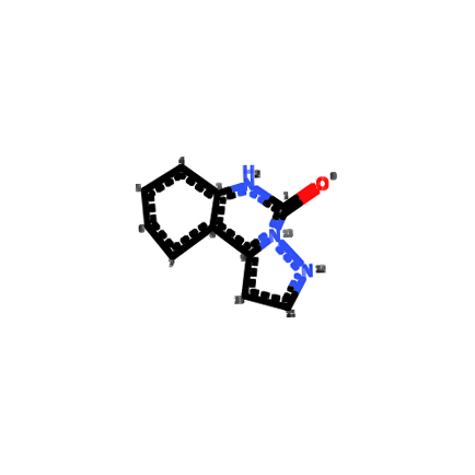 O=c1[nH]c2ccccc2c2ccnn12